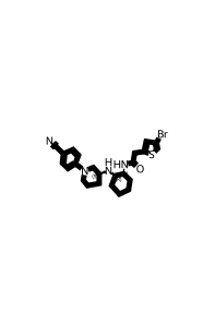 N#Cc1ccc(N2CCC[C@H](N[C@@H]3CCCC[C@H]3NC(=O)Cc3cc(Br)cs3)C2)cc1